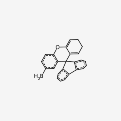 Bc1ccc2c(c1)C1(C3=CCCC=C3O2)c2ccccc2-c2ccccc21